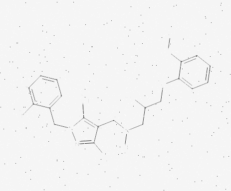 COc1ccccc1OCC(O)CN(C)Cc1c(C)nn(Cc2ccccc2Cl)c1C